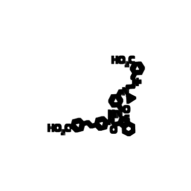 CN(CCN(Cc1cccc(C(=O)Nc2sc3c(c2C(=O)Nc2ccc(CCc4ccc(C(=O)O)cc4)cc2)CCCC3)c1)C1CC1)Cc1cccc(C(=O)O)c1